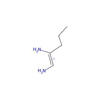 CCC/C(N)=C/N